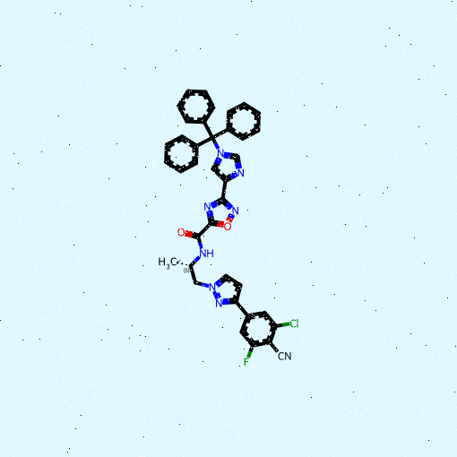 C[C@@H](Cn1ccc(-c2cc(F)c(C#N)c(Cl)c2)n1)NC(=O)c1nc(-c2cn(C(c3ccccc3)(c3ccccc3)c3ccccc3)cn2)no1